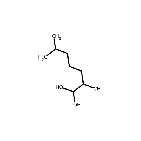 CC(C)CCCC(C)C(O)O